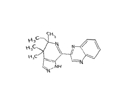 CC1(C)N=C(c2cnc3ccccc3n2)c2[nH]ncc2C1(C)C